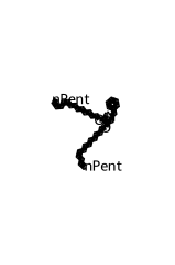 CCCCC/C=C\C/C=C\CCCCCCCCOC1CN(Cc2ccccc2)CC1OCCCCCCCC/C=C\C/C=C\CCCCC